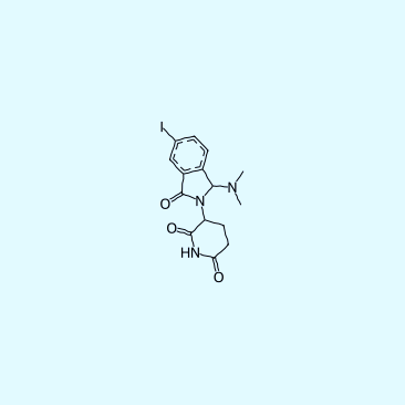 CN(C)C1c2ccc(I)cc2C(=O)N1C1CCC(=O)NC1=O